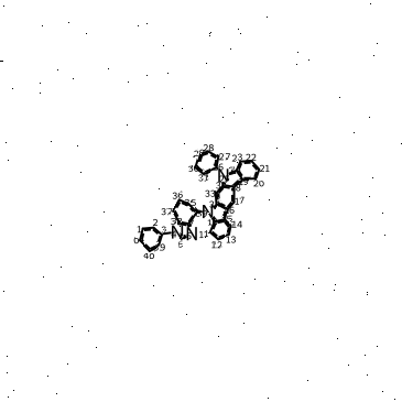 c1ccc(-n2cnc3c(-n4c5ccccc5c5cc6c7ccccc7n(-c7ccccc7)c6cc54)cccc32)cc1